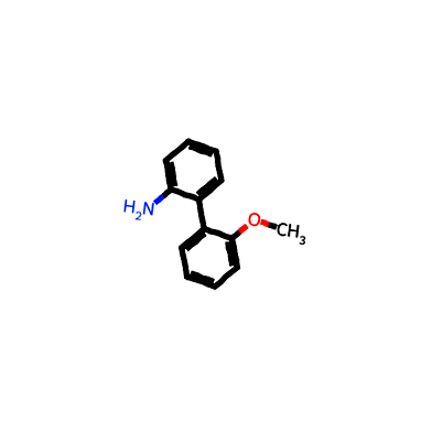 COc1ccccc1-c1ccccc1N